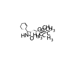 CC(C)(C)[Si](C)(C)OCC[C@@H]1C(=O)N[C@H]1[C@H]1C=CCCC1